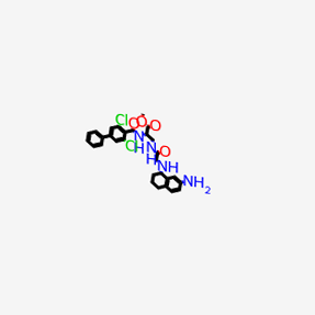 COC(=O)C(CNC(=O)CNC1CCCc2ccc(N)cc21)NC(=O)c1c(Cl)cc(-c2ccccc2)cc1Cl